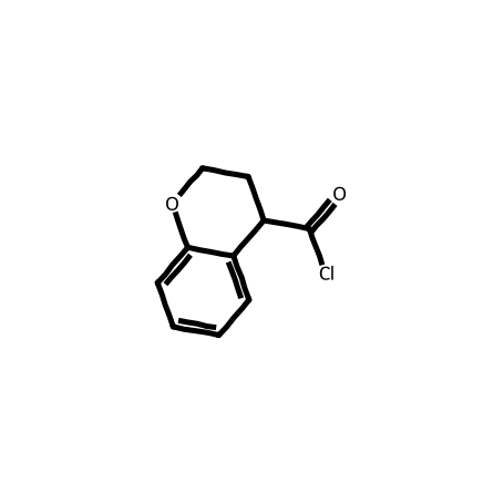 O=C(Cl)C1CCOc2ccccc21